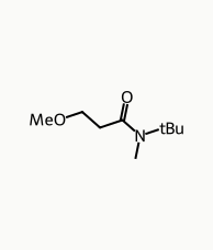 COCCC(=O)N(C)C(C)(C)C